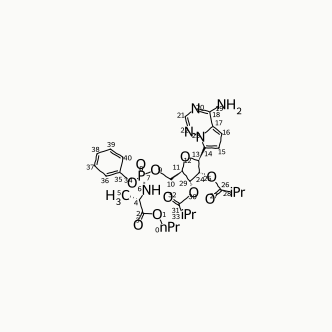 CCCOC(=O)[C@H](C)N[P@](=O)(OC[C@H]1O[C@@H](c2ccc3c(N)ncnn23)[C@H](OC(=O)C(C)C)[C@@H]1OC(=O)C(C)C)Oc1ccccc1